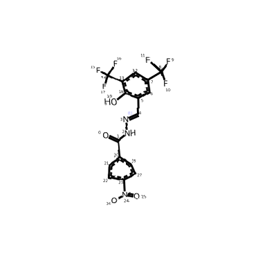 O=C(N/N=C/c1cc(C(F)(F)F)cc(C(F)(F)F)c1O)c1ccc([N+](=O)[O-])cc1